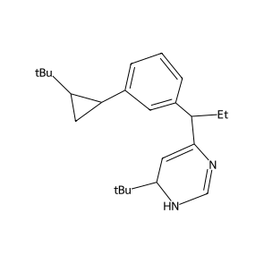 CCC(C1=CC(C(C)(C)C)NC=N1)c1cccc(C2CC2C(C)(C)C)c1